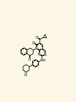 O=C1CC(n2c(=O)c(C(=O)C3CC3)cc3cnc(Nc4ccc(C5CCCNC5)cc4)nc32)Cc2ccccc21